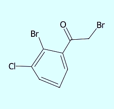 O=C(CBr)c1cccc(Cl)c1Br